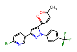 CC(=O)/C=C\C(=O)c1cc(-c2ccc(Br)nc2)nn1-c1ccc(C(F)(F)F)cc1